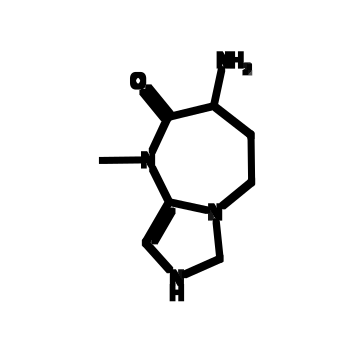 CN1C(=O)C(N)CCN2CNC=C21